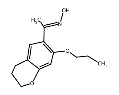 CCCOc1cc2c(cc1/C(C)=N/O)CCCO2